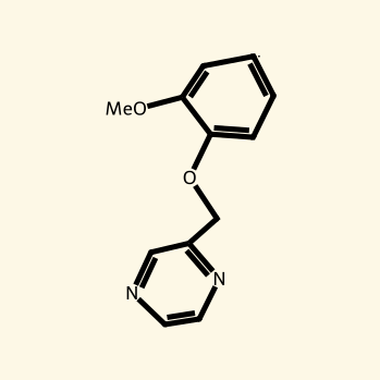 COc1c[c]ccc1OCc1cnccn1